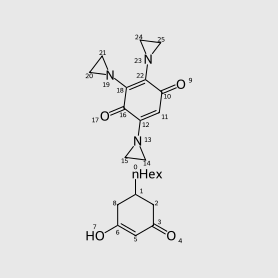 CCCCCCC1CC(=O)C=C(O)C1.O=C1C=C(N2CC2)C(=O)C(N2CC2)=C1N1CC1